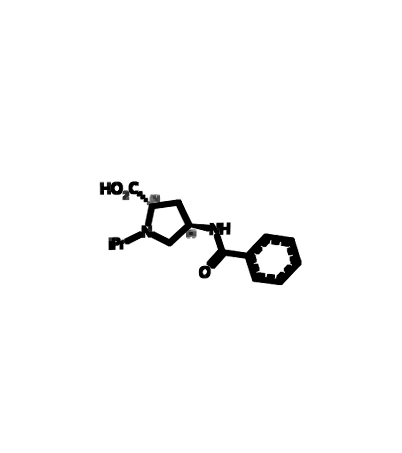 CC(C)N1C[C@H](NC(=O)c2ccccc2)C[C@H]1C(=O)O